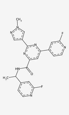 CC(NC(=O)c1cc(-c2ccnc(F)c2)nc(-c2cnn(C)c2)n1)c1ccnc(F)c1